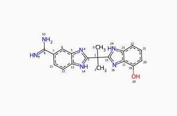 CC(C)(c1nc2cc(C(=N)N)ccc2[nH]1)c1nc2c(O)cccc2[nH]1